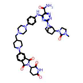 CN1CCN(C2CC3CC2N(c2nnc(C(N)=O)c(Nc4ccc(N5CCN(CC6CCN(c7ccc8c(c7)C(=O)N(C7CCC(=O)NC7=O)C8=O)CC6)CC5)cc4)n2)C3)C1=O